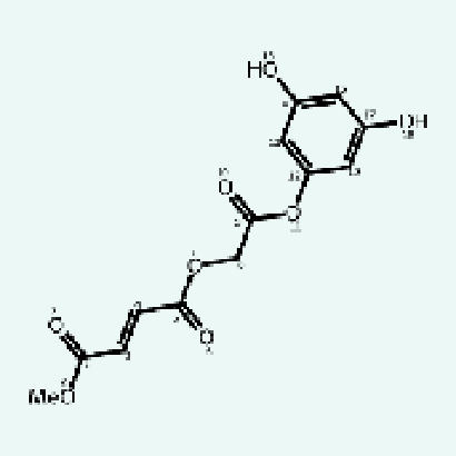 COC(=O)C=CC(=O)OCC(=O)Oc1cc(O)cc(O)c1